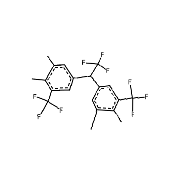 Cc1cc(C(c2cc(C)c(C)c(C(F)(F)F)c2)C(F)(F)F)cc(C(F)(F)F)c1C